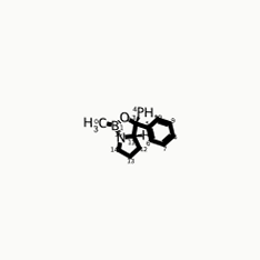 CB1O[C@](P)(c2ccccc2)[C@@H]2CCCN12